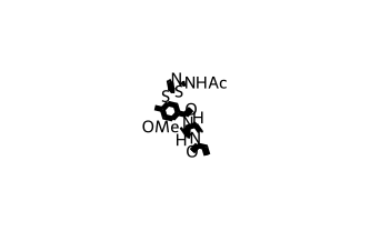 C=CC(=O)N1C[C@@H]2C[C@H]1CN2C(=O)C1CC(Sc2cnc(NC(C)=O)s2)C(C)CC1OC